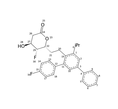 CC(C)c1cc(-c2ccccc2)cc(-c2ccc(F)cc2)c1CC[C@H]1OC(=O)C[C@H](O)[C@H]1F